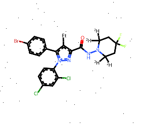 [2H]C1([2H])CC(F)(F)CC([2H])([2H])N1NC(=O)c1nn(-c2ccc(Cl)cc2Cl)c(-c2ccc(Br)cc2)c1CC